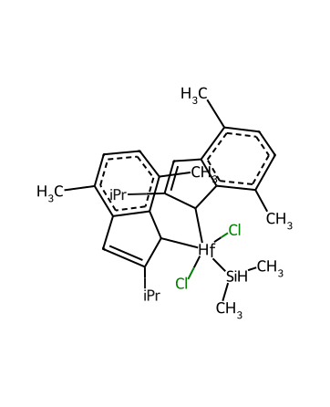 Cc1ccc(C)c2c1C=C(C(C)C)[CH]2[Hf]([Cl])([Cl])([CH]1C(C(C)C)=Cc2c(C)ccc(C)c21)[SiH](C)C